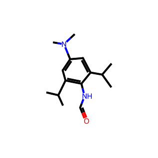 CC(C)c1cc(N(C)C)cc(C(C)C)c1NC=O